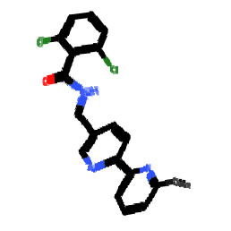 COc1cccc(-c2ccc(CNC(=O)c3c(Cl)cccc3Cl)cn2)n1